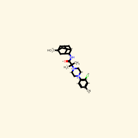 CC(C)(C(=O)NC1C2CC3CC1CC(C(=O)O)(C3)C2)N1CCN(c2ccc(C#N)cc2Cl)CC1